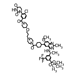 COc1cc2nc(C)nc(N[C@H](C)c3cc(C(=O)OC(C)(C)C)cc(C(F)(F)F)c3)c2cc1C1CCC(C(=O)N2CCN(CCCOC3CCN(C(=O)c4ccc(Cl)c(N5CCC(=O)NC5=O)c4)CC3)CC2)CC1